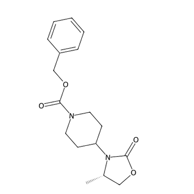 C[C@H]1COC(=O)N1C1CCN(C(=O)OCc2ccccc2)CC1